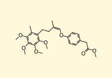 COC(=O)Cc1ccc(OC=C(C)CCc2c(C)c(OC)c(OC)c(OC)c2OC)cc1